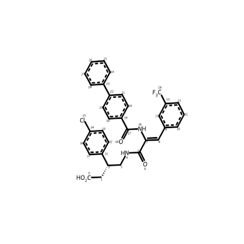 O=C(O)C[C@@H](CNC(=O)C(=Cc1cccc(C(F)(F)F)c1)NC(=O)c1ccc(-c2ccccc2)cc1)c1ccc(Cl)cc1